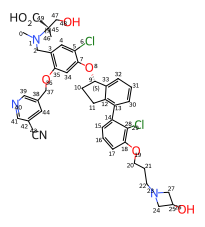 CN(Cc1cc(Cl)c(O[C@H]2CCc3c(-c4cccc(OCCCN5CC(O)C5)c4Cl)cccc32)cc1OCc1cncc(C#N)c1)[C@@](C)(CO)C(=O)O